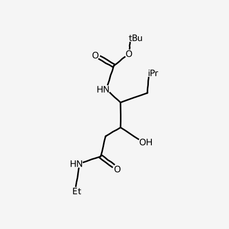 CCNC(=O)CC(O)C(CC(C)C)NC(=O)OC(C)(C)C